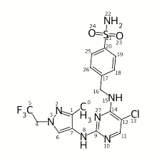 Cc1nn(CC(F)(F)F)cc1Nc1ncc(Cl)c(NCc2ccc(S(N)(=O)=O)cc2)n1